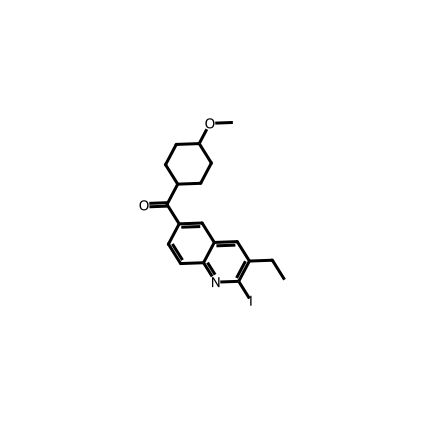 CCc1cc2cc(C(=O)C3CCC(OC)CC3)ccc2nc1I